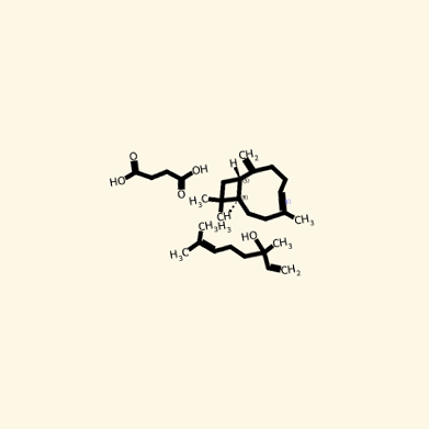 C=C1CC/C=C(\C)CC[C@@H]2[C@@H]1CC2(C)C.C=CC(C)(O)CCC=C(C)C.O=C(O)CCC(=O)O